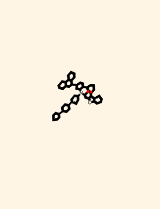 c1ccc(-c2ccc(-c3ccc(N(c4ccc5c(c4)oc4ccccc45)c4cc(-c5cc6ccccc6c6ccccc56)ccc4-c4ccccc4)cc3)cc2)cc1